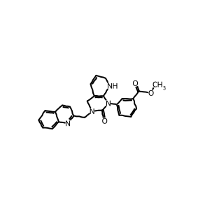 COC(=O)c1cccc(N2C(=O)N(Cc3ccc4ccccc4n3)CC3=C2NCC=C3)c1